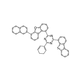 C1=CC(c2nc(-c3cccc4c3sc3ccccc34)nc(-c3cccc4oc5c(-c6ccc7ccccc7c6)cccc5c34)n2)=CCC1